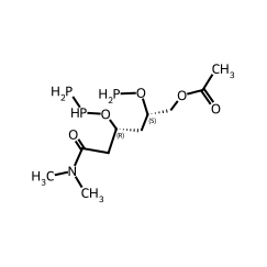 CC(=O)OC[C@H](C[C@H](CC(=O)N(C)C)OPP)OP